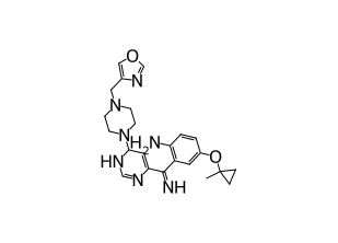 CC1(Oc2ccc(N)c(C(=N)C3=CC(N4CCN(Cc5cocn5)CC4)NC=N3)c2)CC1